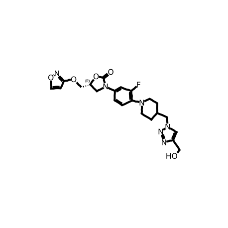 O=C1O[C@@H](COc2ccon2)CN1c1ccc(N2CCC(Cn3cc(CO)nn3)CC2)c(F)c1